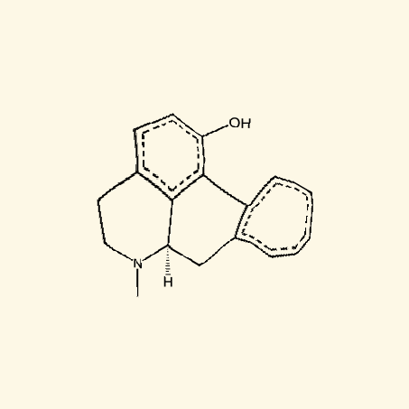 CN1CCc2ccc(O)c3c2[C@H]1Cc1ccccc1-3